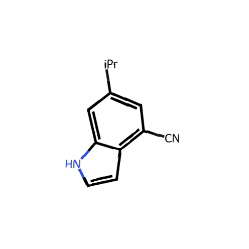 CC(C)c1cc(C#N)c2cc[nH]c2c1